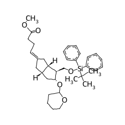 COC(=O)CC/C=C1/C[C@H]2C[C@@H](OC3CCCCO3)[C@H](CO[Si](c3ccccc3)(c3ccccc3)C(C)(C)C)[C@H]2C1